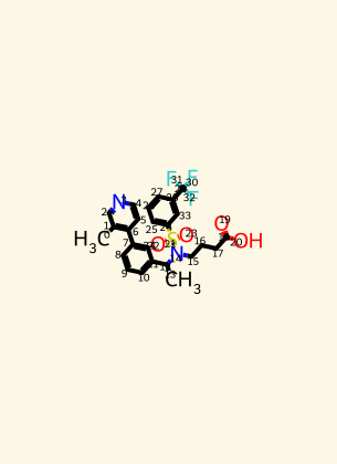 Cc1cnccc1-c1cccc(C(C)N(CCCC(=O)O)S(=O)(=O)c2cccc(C(F)(F)F)c2)c1